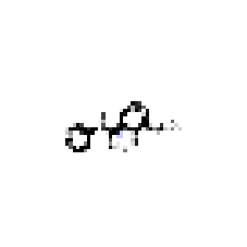 CC(C)(C)OC(=O)N/C(C=N)=C(/Nc1ccnnc1)C(F)(F)F